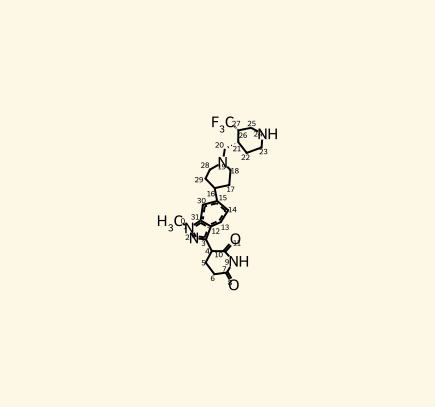 Cn1nc(C2CCC(=O)NC2=O)c2ccc(C3CCN(C[C@H]4CCNC[C@H]4C(F)(F)F)CC3)cc21